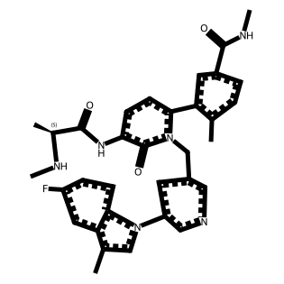 CNC(=O)c1ccc(C)c(-c2ccc(NC(=O)[C@H](C)NC)c(=O)n2Cc2cncc(-n3cc(C)c4cc(F)ccc43)c2)c1